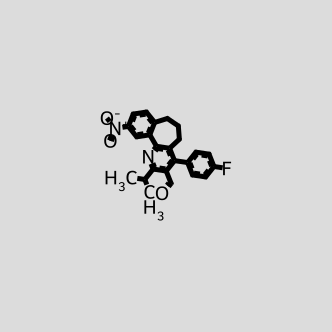 CC(C)c1nc2c(c(-c3ccc(F)cc3)c1C=O)CCCc1ccc([N+](=O)[O-])cc1-2